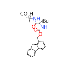 CCC(C)C(NC(=O)OCc1cccc2c1Cc1ccccc1-2)C(=O)NC(C)(C)C(=O)O